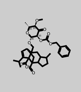 CO[C@H]1C(=O)[C@@H](OC(=O)OCc2ccccc2)[C@H](OCC23CC4C(C)CCC4C4(C=O)CC2C=C(C(C)C)C43C(=O)O)O[C@@H]1C